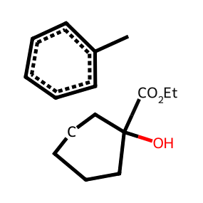 CCOC(=O)C1(O)CCCCC1.Cc1ccccc1